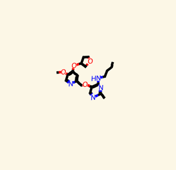 CCCCNc1nc(C)ncc1OCc1cc(OC2CCOC2)c(OC)cn1